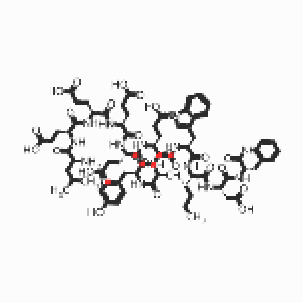 CCCC[C@H](NC(=O)[C@H](Cc1c[nH]c2ccccc12)NC(=O)CNC(=O)[C@H](Cc1ccc(O)cc1)NC(=O)[C@H](C)NC(=O)[C@H](CCC(=O)O)NC(=O)[C@H](CCC(=O)O)NC(=O)[C@H](CCC(=O)O)NC(=O)[C@H](CCC(=O)O)NC(=O)[C@H](CCC(=O)O)NC(=O)[C@@H](N)CC(C)C)C(=O)N[C@@H](CC(=O)O)C(=O)N[C@@H](Cc1ccccc1)C(N)=O